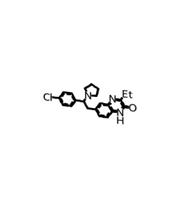 CCc1nc2cc(CC(c3ccc(Cl)cc3)N3CCCC3)ccc2[nH]c1=O